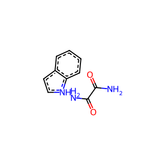 NC(=O)C(N)=O.c1ccc2[nH]ccc2c1